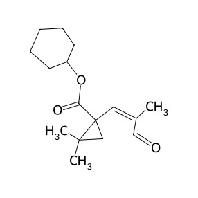 CC(C=O)=CC1(C(=O)OC2CCCCC2)CC1(C)C